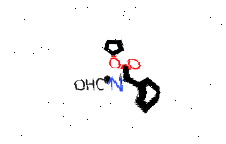 O=CC=N[C@H](C(=O)OC1CCCC1)c1ccccc1